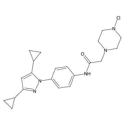 O=C(CN1CCN(Cl)CC1)Nc1ccc(-n2nc(C3CC3)cc2C2CC2)cc1